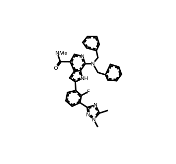 CNC(=O)c1cnc(N(Cc2ccccc2)Cc2ccccc2)c2[nH]c(-c3cccc(-c4nc(C)n(C)n4)c3F)cc12